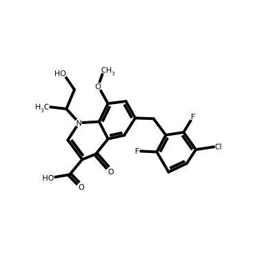 COc1cc(Cc2c(F)ccc(Cl)c2F)cc2c(=O)c(C(=O)O)cn(C(C)CO)c12